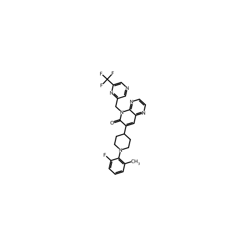 Cc1cccc(F)c1N1CCC(c2cc3nccnc3n(Cc3cncc(C(F)(F)F)n3)c2=O)CC1